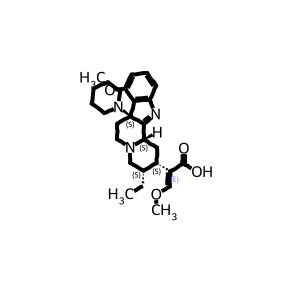 CC[C@@H]1CN2CC[C@@]3(N4CCCCC4)C(=Nc4cccc(OC)c43)[C@@H]2C[C@@H]1/C(=C\OC)C(=O)O